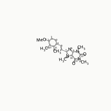 COc1ccc(C=Cc2nc3c(c(=O)n(C)c(=O)n3C)n2C)c(C)c1C